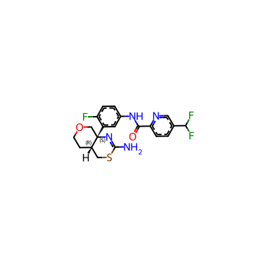 NC1=N[C@@]2(c3cc(NC(=O)c4ccc(C(F)F)cn4)ccc3F)COCC[C@H]2CS1